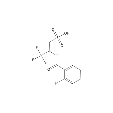 O=C(OC(CS(=O)(=O)O)C(F)(F)F)c1ccccc1F